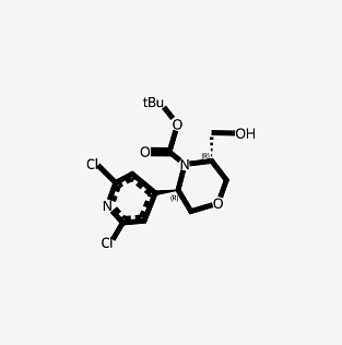 CC(C)(C)OC(=O)N1[C@H](CO)COC[C@H]1c1cc(Cl)nc(Cl)c1